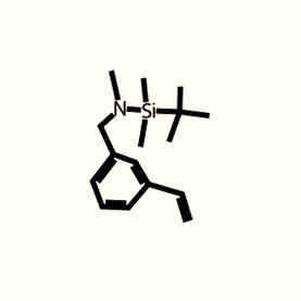 C=Cc1cccc(CN(C)[Si](C)(C)C(C)(C)C)c1